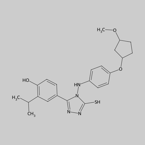 COC1CCC(Oc2ccc(Nn3c(S)nnc3-c3ccc(O)c(C(C)C)c3)cc2)C1